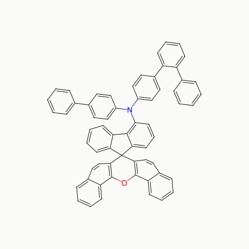 c1ccc(-c2ccc(N(c3ccc(-c4ccccc4-c4ccccc4)cc3)c3cccc4c3-c3ccccc3C43c4ccc5ccccc5c4Oc4c3ccc3ccccc43)cc2)cc1